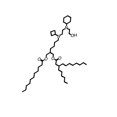 CCCCCCCCCCC(=O)OCC(CCCCN(CCN(CCO)C1CCCCC1)C1CCC1)COC(=O)CC(CCCCCC)CCCCCCCC